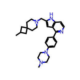 CC1CC2(CCN(Cc3cc4c(-c5ccc(N6CCN(C)CC6)cc5)nccc4[nH]3)CC2)C1